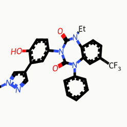 CCN1C(=O)N(c2ccc(O)c(-c3cnn(C)c3)c2)C(=O)N(c2ccccc2)c2cc(C(F)(F)F)ccc21